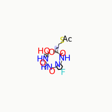 C/C=C1\NC(=O)c2cc(F)cc(n2)CNC(=O)C[C@@H](/C=C/CCSC(C)=O)OC(O)[C@H](C)NC1=O